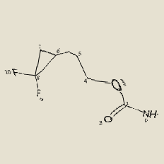 [NH]C(=O)OCCC1CC1(F)F